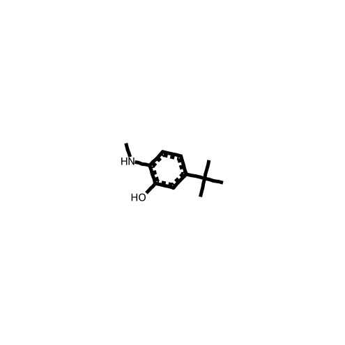 CNc1ccc(C(C)(C)C)cc1O